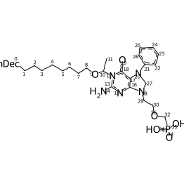 CCCCCCCCCCCCCCCCCCOC(C)n1c(N)nc2c(c1=O)N(c1ccccc1)CN2CCOCP(=O)(O)O